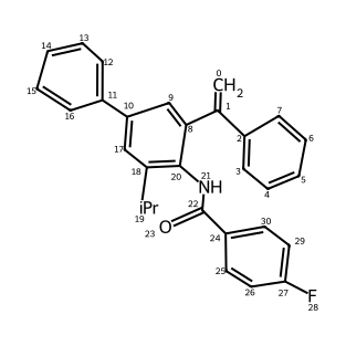 C=C(c1ccccc1)c1cc(-c2ccccc2)cc(C(C)C)c1NC(=O)c1ccc(F)cc1